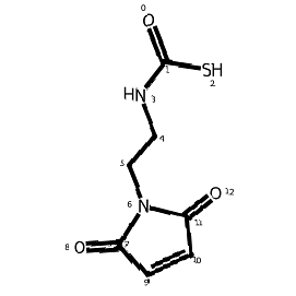 O=C(S)NCCN1C(=O)C=CC1=O